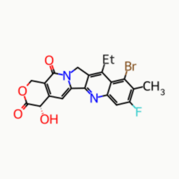 CCc1c2c(nc3cc(F)c(C)c(Br)c13)-c1cc3c(c(=O)n1C2)COC(=O)[C@H]3O